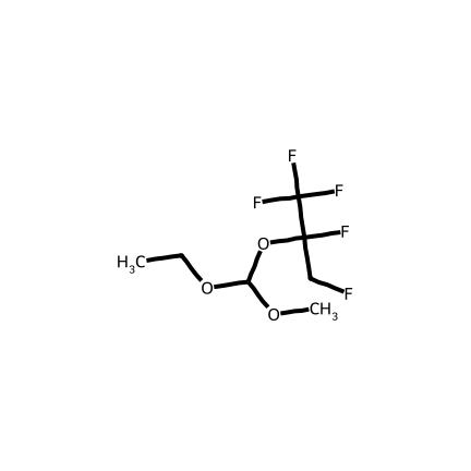 CCOC(OC)OC(F)(CF)C(F)(F)F